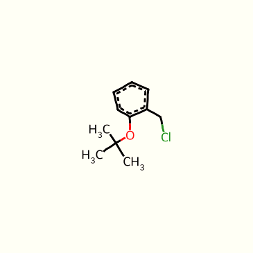 CC(C)(C)Oc1ccccc1CCl